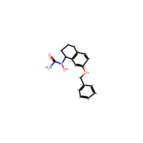 NC(=O)N(O)C1CCCc2ccc(OCc3ccccc3)cc21